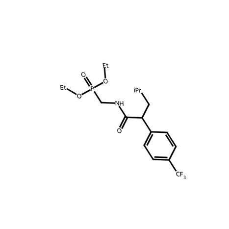 CCOP(=O)(CNC(=O)C(CC(C)C)c1ccc(C(F)(F)F)cc1)OCC